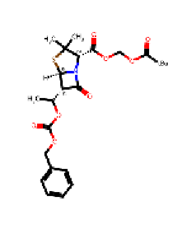 CC(OC(=O)OCc1ccccc1)[C@H]1C(=O)N2[C@@H]1SC(C)(C)[C@@H]2C(=O)OCOC(=O)C(C)(C)C